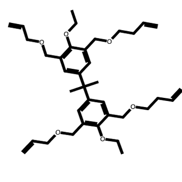 C=CCCOCc1cc(C(C)(C)c2cc(COCC=C)c(OCC)c(COCCC=C)c2)cc(COCC=C)c1OCC